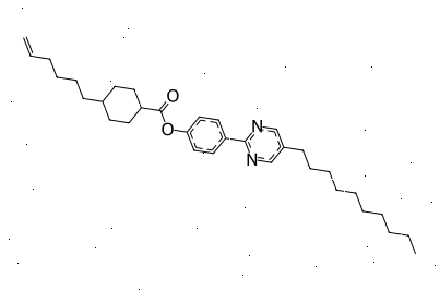 C=CCCCCC1CCC(C(=O)Oc2ccc(-c3ncc(CCCCCCCCCC)cn3)cc2)CC1